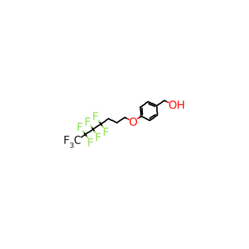 OCc1ccc(OCCCC(F)(F)C(F)(F)C(F)(F)C(F)(F)F)cc1